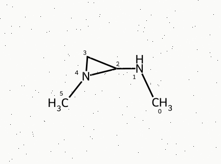 CNC1CN1C